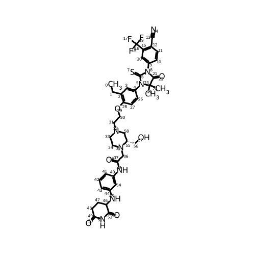 CCc1cc(N2C(=S)N(c3ccc(C#N)c(C(F)(F)F)c3)C(=O)C2(C)C)ccc1OCCN1CCN(CC(=O)Nc2cccc(NC3CCC(=O)NC3=O)c2)[C@@H](CO)C1